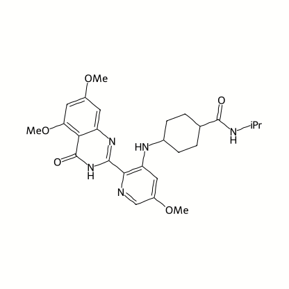 COc1cnc(-c2nc3cc(OC)cc(OC)c3c(=O)[nH]2)c(NC2CCC(C(=O)NC(C)C)CC2)c1